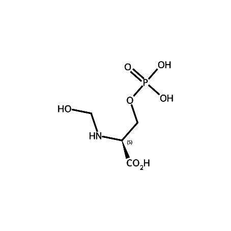 O=C(O)[C@H](COP(=O)(O)O)NCO